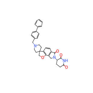 O=C1CCC(N2Cc3c(ccc4c3OCC43CCN(Cc4ccc(-c5ccccc5)cc4)CC3)C2=O)C(=O)N1